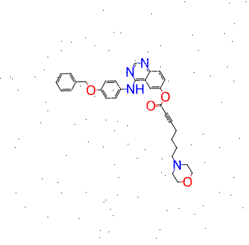 O=C(C#CCCCCN1CCOCC1)Oc1ccc2ncnc(Nc3ccc(OCc4ccccc4)cc3)c2c1